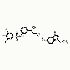 CCc1n[nH]c2cc(OCCNC[C@H](O)c3cccc(NS(=O)(=O)c4cc(F)c(F)c(F)c4)c3)ccc12